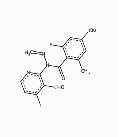 C=NN(C(=O)c1c(C)cc(C(C)(C)C)cc1F)c1nccc(I)c1C=O